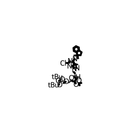 CC(C)(C)OP(=O)(COC[C@H]1O[C@H](CCn2ncc3c(N4CC5(CCc6ccccc65)C4)nc(Cl)nc32)[C@@H]2OC(C)(C)OC21)OC(C)(C)C